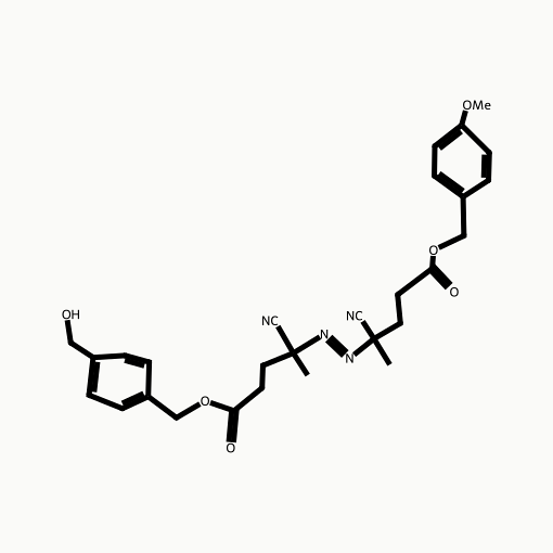 COc1ccc(COC(=O)CCC(C)(C#N)N=NC(C)(C#N)CCC(=O)OCc2ccc(CO)cc2)cc1